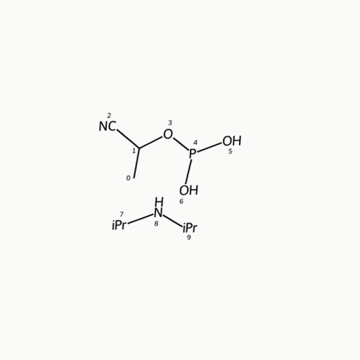 CC(C#N)OP(O)O.CC(C)NC(C)C